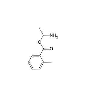 Cc1ccccc1C(=O)OC(C)N